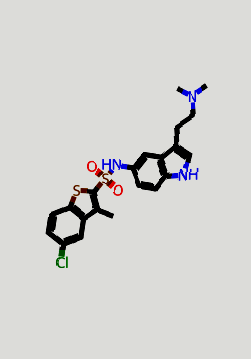 Cc1c(S(=O)(=O)Nc2ccc3[nH]cc(CCN(C)C)c3c2)sc2ccc(Cl)cc12